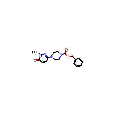 Cn1nc(N2CCN(C(=O)OCc3ccccc3)CC2)ccc1=O